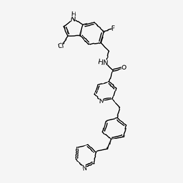 O=C(NCc1cc2c(Cl)c[nH]c2cc1F)c1ccnc(Cc2ccc(Cc3cccnc3)cc2)c1